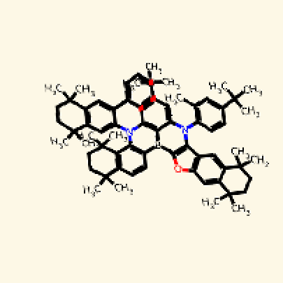 Cc1cc(C(C)(C)C)ccc1N1c2cc([Si](C)(C)C)cc3c2B(c2ccc4c(c2N3c2cc3c(cc2-c2ccccc2)C(C)(C)CCC3(C)C)C(C)(C)CCC4(C)C)c2oc3cc4c(cc3c21)C(C)(C)CCC4(C)C